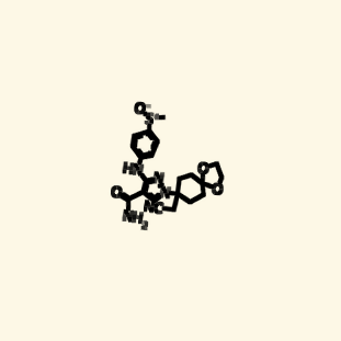 C[S+]([O-])c1ccc(Nc2nn(C3(CC#N)CCC4(CC3)OCCO4)cc2C(N)=O)cc1